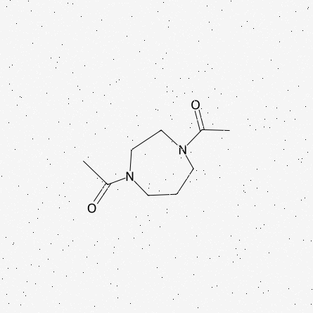 CC(=O)N1CCCN(C(C)=O)CC1